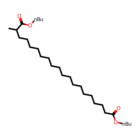 CCCCOC(=O)CCCCCCCCCCCCCCCCCC(C)C(=O)OCCCC